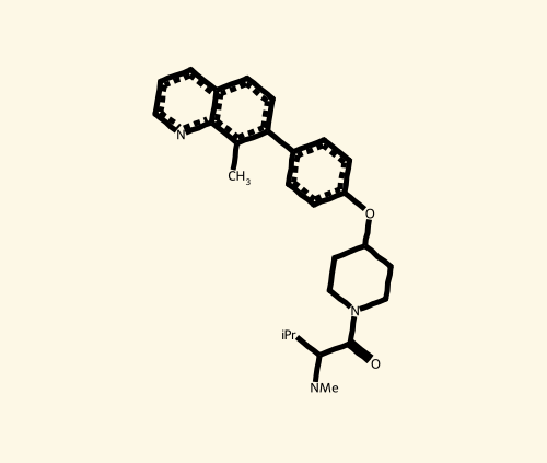 CNC(C(=O)N1CCC(Oc2ccc(-c3ccc4cccnc4c3C)cc2)CC1)C(C)C